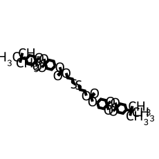 CC(C)(C)C1CCC2(CC1)OOC1(CCC(OC(=O)OCCSSCCOC(=O)OC3CCC4(CC3)OOC3(CCC(C(C)(C)C)CC3)OO4)CC1)OO2